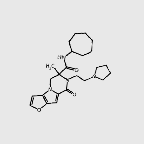 CC1(C(=O)NC2CCCCCC2)Cn2c(cc3occc32)C(=O)N1CCN1CCCC1